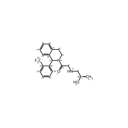 C[C@@H](O)CNCC(=O)N1CCc2ccccc2C1c1ccccc1C(F)(F)F